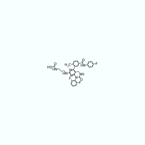 Cc1ccc(C(=O)Nc2ccc(F)cc2)cc1-c1nc(NCCCNC(=O)O)nc2c1CNC(=O)N2c1c(F)cccc1F